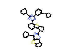 c1ccc(-c2cccc(-c3nc(-c4ccccc4)nc(-c4cccc5c4sc4cccc(-c6nc(-c7ccccc7)c7sc8ccccc8c7n6)c45)n3)c2)cc1